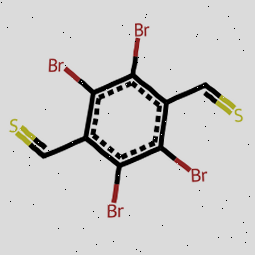 S=Cc1c(Br)c(Br)c(C=S)c(Br)c1Br